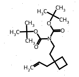 C=CCC1(CCN(C(=O)OC(C)(C)C)C(=O)OC(C)(C)C)CCC1